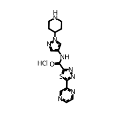 Cl.O=C(Nc1cnn(C2CCNCC2)c1)c1nnc(-c2cnccn2)s1